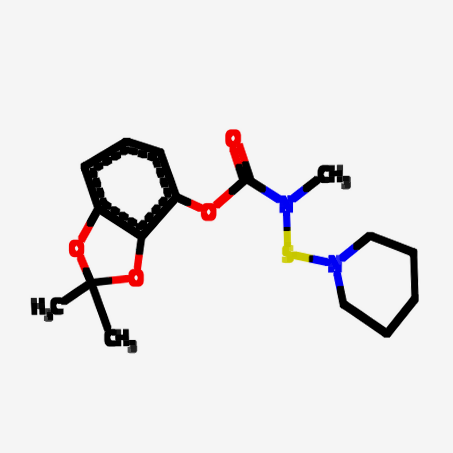 CN(SN1CCCCC1)C(=O)Oc1cccc2c1OC(C)(C)O2